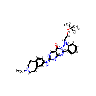 CN1CCc2ccc(Nc3ncc4c(=O)n5c(nc4n3)c3ccccc3n5CCO[Si](C)(C)C(C)(C)C)cc2CC1